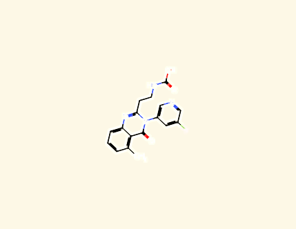 Cc1cccc2nc(CCNC(=O)O)n(-c3cncc(F)c3)c(=O)c12